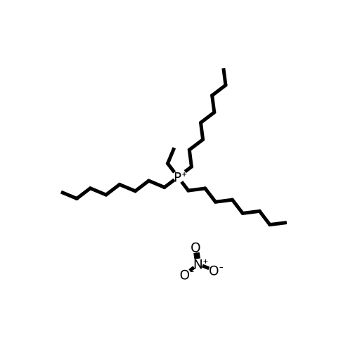 CCCCCCCC[P+](CC)(CCCCCCCC)CCCCCCCC.O=[N+]([O-])[O-]